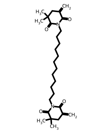 C=C1CC(C)(C)C(=O)N(CCCCCCCCCCCCN2C(=O)C(=C)CC(C)(C)C2=O)C1=O